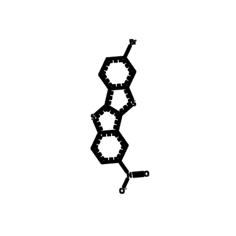 O=[N+]([O-])c1ccc2sc3c4ccc(Br)cc4sc3c2c1